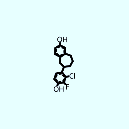 Oc1ccc2c(c1)CCCC(c1ccc(O)c(F)c1Cl)C2